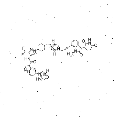 Cn1c(=O)n(C2CCC(=O)NC2=O)c2cccc(C#CCN3C[C@@H]4C[C@H]3CN4C[C@H]3CC[C@H](n4cc(NC(=O)c5cnn6ccc(N7C[C@H]8C[C@@H]7CO8)nc56)c(C(F)F)n4)CC3)c21